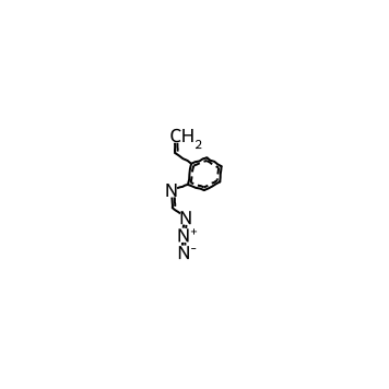 C=Cc1ccccc1/N=C\N=[N+]=[N-]